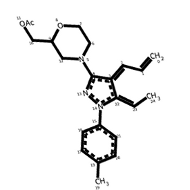 C=C/C=c1/c(N2CCOC(COC(C)=O)C2)nn(-c2ccc(C)cc2)/c1=C/C